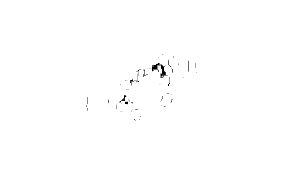 Cc1oc(-c2ccccc2)nc1CCOc1ccc(C[C@H](NC(=O)OCc2ccccc2)C(=O)O)cc1